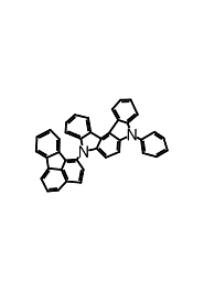 c1ccc(-n2c3ccccc3c3c4c5ccccc5n(-c5ccc6cccc7c6c5-c5ccccc5-7)c4ccc32)cc1